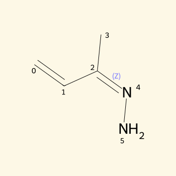 C=C/C(C)=N\N